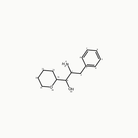 NC(Cc1ccccc1)C(O)C1CCCCO1